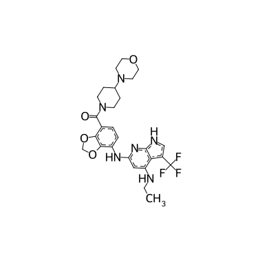 CCNc1cc(Nc2ccc(C(=O)N3CCC(N4CCOCC4)CC3)c3c2OCO3)nc2[nH]cc(C(F)(F)F)c12